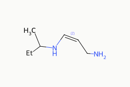 CCC(C)N/C=C\CN